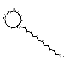 C1CCCCNNNNCCC1.CCCCCCCCCCCCCC